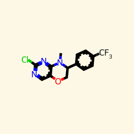 CN1c2nc(Cl)ncc2OCC1c1ccc(C(F)(F)F)cc1